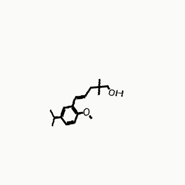 COc1ccc(C(C)C)cc1/C=C/CC(C)(C)CO